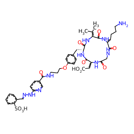 CC(C)=C1NC(=O)[C@@H](Cc2ccc(OCCCNC(=O)c3ccc(N/N=C/c4ccccc4S(=O)(=O)O)nc3)cc2)NC(=O)/C(=C\C(=O)O)NC(=O)CNC(=O)/C(=C/CCCN)NC1=O